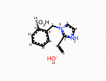 C=Cc1[nH]cc[n+]1Cc1ccccc1S(=O)(=O)O.[OH-]